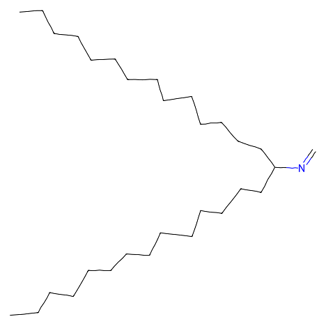 C=NC(CCCCCCCCCCCCCC)CCCCCCCCCCCCCC